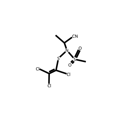 CC(C#N)N(SC(Cl)=C(Cl)Cl)S(C)(=O)=O